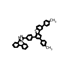 Cc1ccc(-c2ccc3sc4c(-c5ccc(-c6nnc7c8ccccc8c8ccccc8n67)cc5)cc(-c5ccc(C)cc5)cc4c3c2)cc1